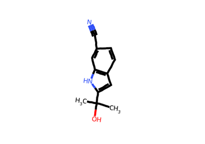 CC(C)(O)c1cc2ccc(C#N)cc2[nH]1